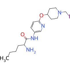 CCCCC(N)C(=O)Nc1ccc(OC2CCN(CI)CC2)nc1